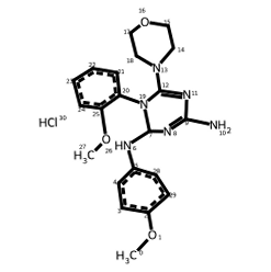 COc1ccc(NC2N=C(N)N=C(N3CCOCC3)N2c2ccccc2OC)cc1.Cl